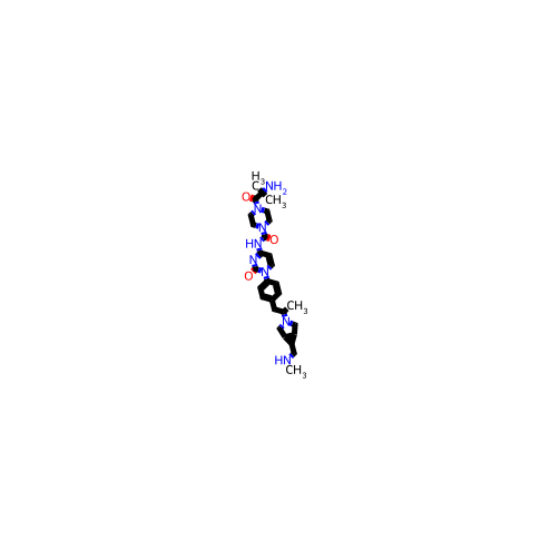 CNCC1C2CN(C(C)Cc3ccc(-n4ccc(NC(=O)N5CCN(C(=O)C(C)(C)N)CC5)nc4=O)cc3)CC12